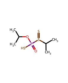 CC(C)OP(=O)(S)S(=S)C(C)C